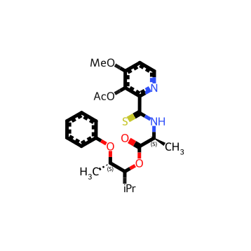 COc1ccnc(C(=S)N[C@@H](C)C(=O)OC(C(C)C)[C@H](C)Oc2ccccc2)c1OC(C)=O